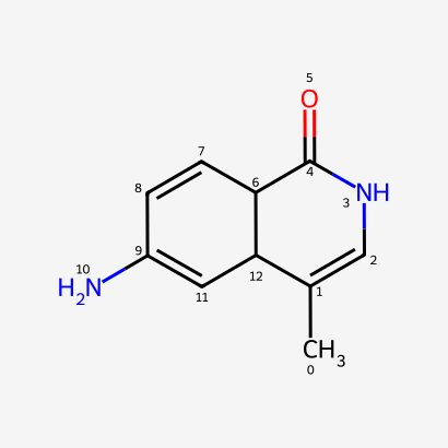 CC1=CNC(=O)C2C=CC(N)=CC12